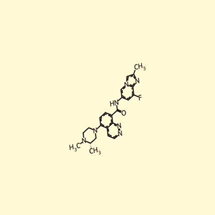 Cc1cn2cc(NC(=O)c3ccc(N4CCN(C)[C@@H](C)C4)c4ccnnc34)cc(F)c2n1